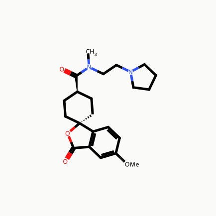 COc1ccc2c(c1)C(=O)O[C@]21CC[C@H](C(=O)N(C)CCN2CCCC2)CC1